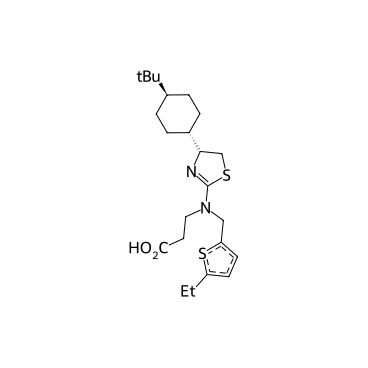 CCc1ccc(CN(CCC(=O)O)C2=NC([C@H]3CC[C@H](C(C)(C)C)CC3)CS2)s1